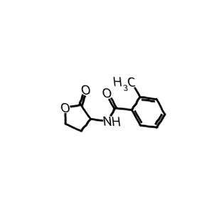 Cc1ccccc1C(=O)NC1CCOC1=O